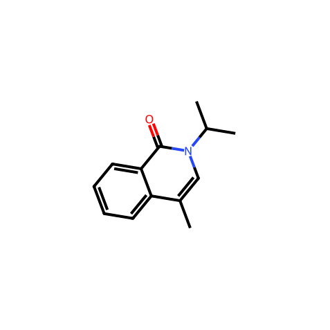 Cc1cn(C(C)C)c(=O)c2ccccc12